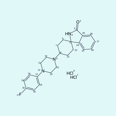 Cl.Cl.O=C1NC2(CCC(N3CCN(c4ccc(F)cc4)CC3)CC2)c2ccccc21